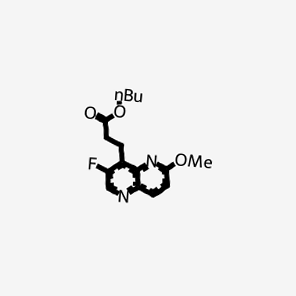 CCCCOC(=O)CCc1c(F)cnc2ccc(OC)nc12